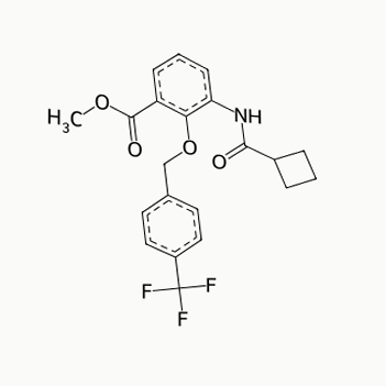 COC(=O)c1cccc(NC(=O)C2CCC2)c1OCc1ccc(C(F)(F)F)cc1